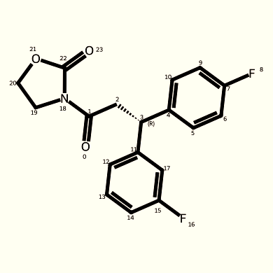 O=C(C[C@H](c1ccc(F)cc1)c1cccc(F)c1)N1CCOC1=O